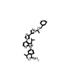 CC(C)c1cc(-n2nc(C(C)C)c3c(-n4cnc(-c5cnn(C(C)OCc6ccccc6)c5)c4)ccnc32)ccc1C(N)=O